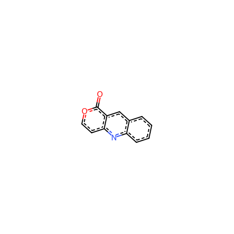 O=c1occc2nc3ccccc3cc12